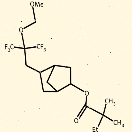 CCC(C)(C)C(=O)OC1CC2CC1CC2CC(OCOC)(C(F)(F)F)C(F)(F)F